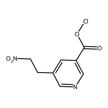 O=C(OCl)c1cncc(CC[N+](=O)[O-])c1